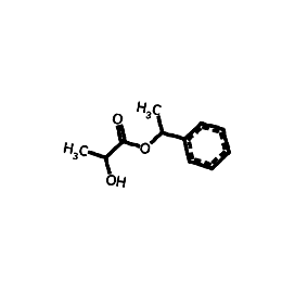 CC(O)C(=O)OC(C)c1ccccc1